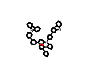 c1ccc(-c2ccccc2-c2ccccc2N(c2ccc(-c3cccc(-c4cccc(-n5c6ccccc6c6ccccc65)c4)c3)cc2)c2ccc(-c3ccc4c(c3)oc3ccccc34)cc2)cc1